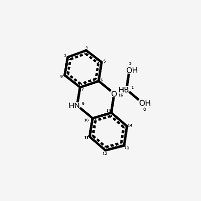 OBO.c1ccc2c(c1)Nc1ccccc1O2